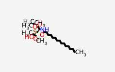 CCCCCCCCCCCCCCCC(=O)N[C@@H](CSC(C)(O)COC)C(=O)OC(C)(C)C